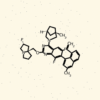 C=Cc1cccc2cc(C)cc(-c3c(F)cc4c(N5C[C@H]6CC[C@@](C)(C6)C5)nc(OC[C@@]56CCCN5C[C@H](F)C6)nc4c3F)c12